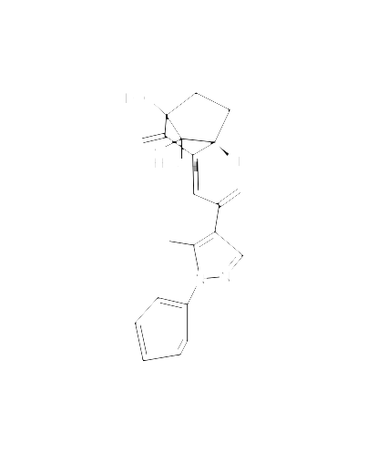 CC12CC[C@H](/C(=C\C(=O)c3cnn(-c4ccccc4)c3C(F)(F)F)C1=O)C2(C)C